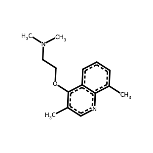 Cc1cnc2c(C)cccc2c1OCCN(C)C